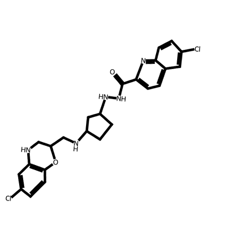 O=C(NNC1CCC(NCC2CNc3cc(Cl)ccc3O2)C1)c1ccc2cc(Cl)ccc2n1